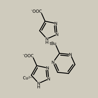 CC(C)(C)c1ncccn1.O=C([O-])c1c[nH]nn1.O=C([O-])c1c[nH]nn1.[Cu+2]